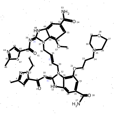 CCn1nc(C)cc1C(=O)/N=c1\[nH]c2cc(C(N)=O)cc(OCCCN3CCOCC3)c2n1C/C=C/Cn1/c(=N\C(=O)c2cnc(C)s2)[nH]c2cc(C(N)=O)cc(OC)c21